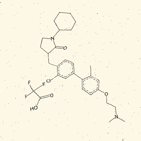 Cc1cc(OCCN(C)C)ccc1-c1ccc(CC2CCN(C3CCCCC3)C2=O)c(Cl)c1.O=C(O)C(F)(F)F